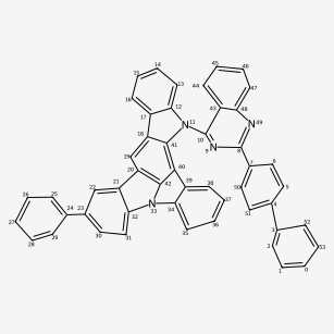 c1ccc(-c2ccc(-c3nc(-n4c5ccccc5c5cc6c7cc(-c8ccccc8)ccc7n7c8ccccc8c(c54)c67)c4ccccc4n3)cc2)cc1